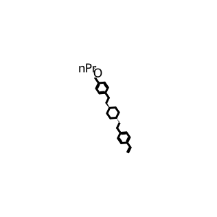 C=Cc1ccc(CC[C@H]2CC[C@H](CCc3ccc(COCCC)cc3)CC2)cc1